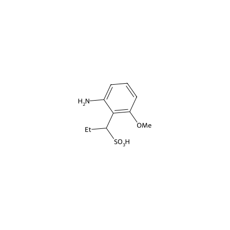 CCC(c1c(N)cccc1OC)S(=O)(=O)O